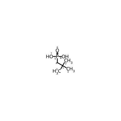 CC(C)(C)CP(=O)(O)O